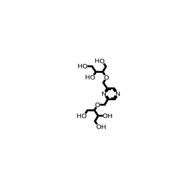 OCC(O)C(CO)OCc1cncc(COC(CO)C(O)CO)n1